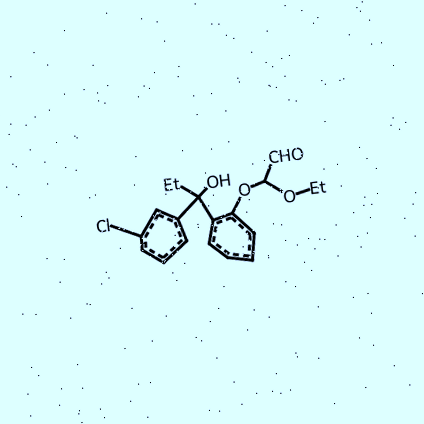 CCOC(C=O)Oc1ccccc1C(O)(CC)c1cccc(Cl)c1